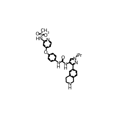 CC(C)n1cc(NC(=O)Nc2ccc(Oc3ccnc(NS(C)(=O)=O)c3)cc2)c(-c2ccc3c(c2)CCNC3)n1